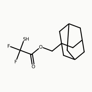 O=C(OCC12CC3CC(CC(C3)C1)C2)C(F)(F)S